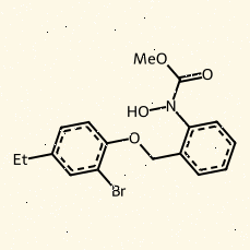 CCc1ccc(OCc2ccccc2N(O)C(=O)OC)c(Br)c1